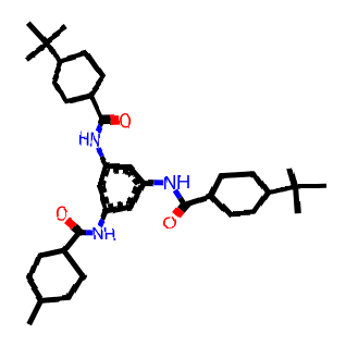 CC1CCC(C(=O)Nc2cc(NC(=O)C3CCC(C(C)(C)C)CC3)cc(NC(=O)C3CCC(C(C)(C)C)CC3)c2)CC1